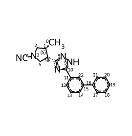 C[C@@H]1CN(C#N)C[C@H]1c1n[nH]c(-c2cccc(-c3ccccc3)c2)n1